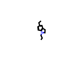 CCCN1CCc2cc(CC)ccc21